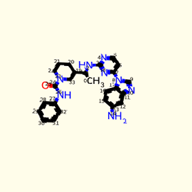 CC(Nc1nccc(-n2cnc3cc(N)ccc32)n1)C1CCCN(C(=O)Nc2ccccc2)C1